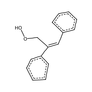 OOCC(=Cc1ccccc1)c1ccccc1